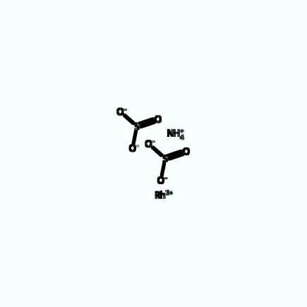 O=S([O-])[O-].O=S([O-])[O-].[NH4+].[Rh+3]